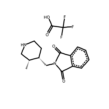 C[C@@H]1CNCC[C@@H]1CN1C(=O)c2ccccc2C1=O.O=C(O)C(F)(F)F